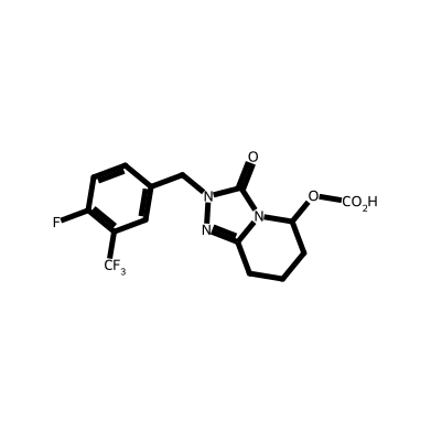 O=C(O)OC1CCCc2nn(Cc3ccc(F)c(C(F)(F)F)c3)c(=O)n21